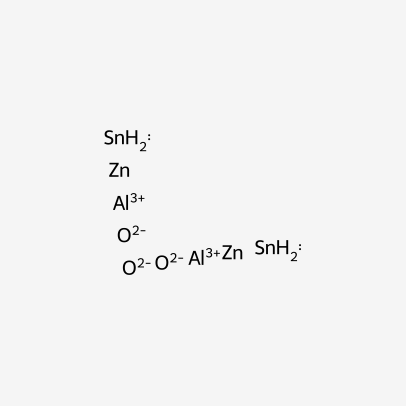 [Al+3].[Al+3].[O-2].[O-2].[O-2].[SnH2].[SnH2].[Zn].[Zn]